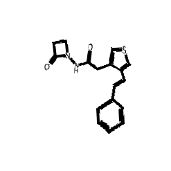 O=C(Cc1cscc1C=Cc1ccccc1)NN1CCC1=O